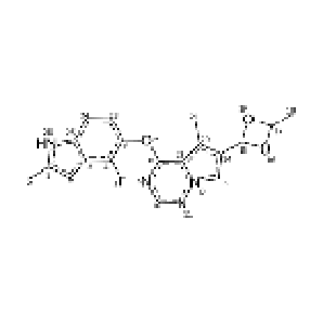 Cc1cc2c(F)c(Oc3ncnn4cc(C5OC(C)O5)c(C)c34)ccc2[nH]1